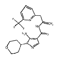 C=C(Cc1cccc(C(F)(F)F)n1)NC(=O)c1cnn(C2CCOCC2)c1N